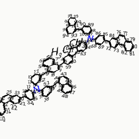 CC1(C)c2cc(-c3ccc(-c4cccc(N(c5ccc(-c6ccc7c(ccc8ccccc87)c6)cc5)c5cccc(-c6cccc7ccccc67)c5)c4)c4ccccc34)ccc2-c2ccc(N(c3ccc(-c4ccc5c(ccc6ccccc65)c4)cc3)c3cccc(-c4cccc5ccccc45)c3)cc21